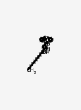 CCCCCCCCCCCCCCCCOc1ccc(CC(=O)Nc2ccccc2Cn2cc3cccc[n+]3c2)cc1Cl.[Br-]